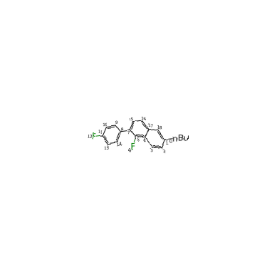 CCCCc1ccc2c(F)c(-c3ccc(F)cc3)ccc2c1